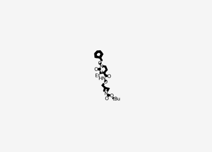 CCN1C(=O)N(OCc2ccccc2)CCC1C(=O)NOCC1CN(C(=O)OC(C)(C)C)C1